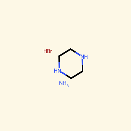 Br.C1CNCCN1.N